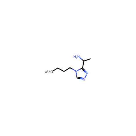 COCCCn1cnnc1C(C)N